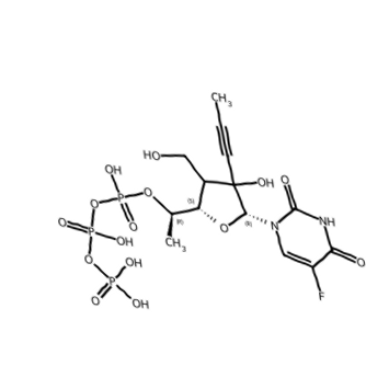 CC#CC1(O)C(CO)[C@@H]([C@@H](C)OP(=O)(O)OP(=O)(O)OP(=O)(O)O)O[C@H]1n1cc(F)c(=O)[nH]c1=O